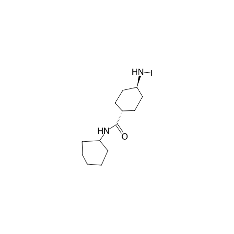 O=C(NC1CCCCC1)[C@H]1CC[C@H](NI)CC1